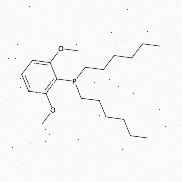 CCCCCCP(CCCCCC)c1c(OC)cccc1OC